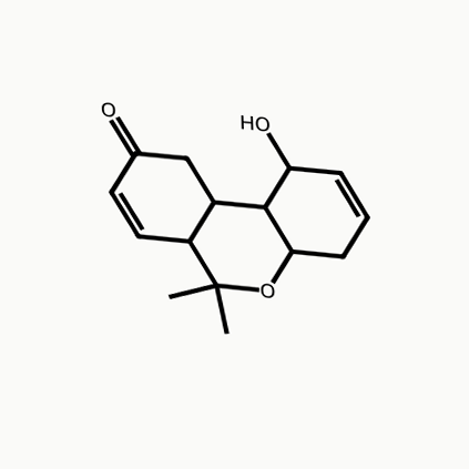 CC1(C)OC2CC=CC(O)C2C2CC(=O)C=CC21